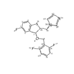 Fc1ccc2c(c1)C(OCc1c(F)cccc1F)C(Cn1ccnc1)S2